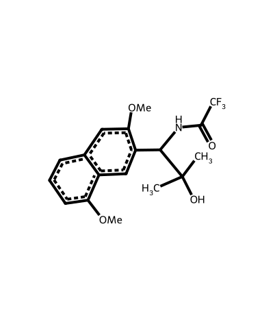 COc1cc2cccc(OC)c2cc1C(NC(=O)C(F)(F)F)C(C)(C)O